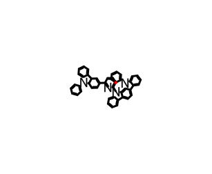 C1=CC2C(C=C1c1cccc(-n3c4ccccc4c4ccc5c6ccccc6n(-c6ccccc6)c5c43)n1)c1ccccc1N2c1ccccc1